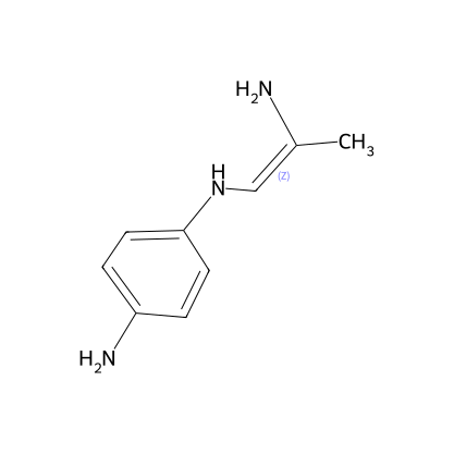 C/C(N)=C/Nc1ccc(N)cc1